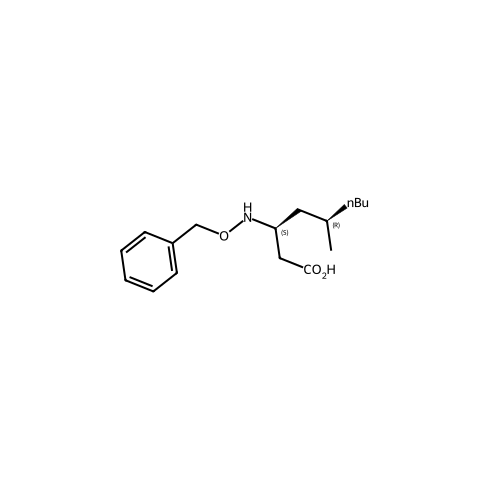 CCCC[C@@H](C)C[C@@H](CC(=O)O)NOCc1ccccc1